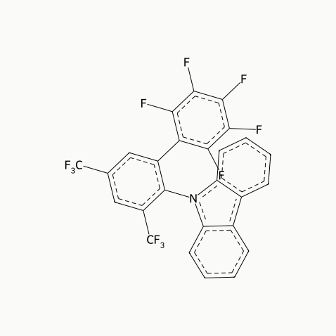 Fc1c(F)c(F)c(-c2cc(C(F)(F)F)cc(C(F)(F)F)c2-n2c3ccccc3c3ccccc32)c(F)c1F